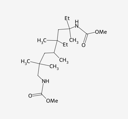 CCC(C)(CC(C)(CC)C(C)CC(C)(C)CNC(=O)OC)NC(=O)OC